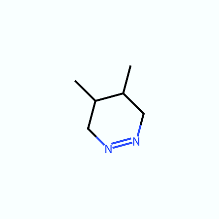 CC1CN=NCC1C